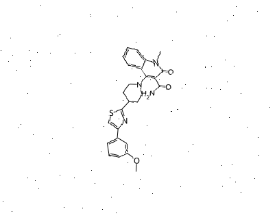 COc1cccc(-c2csc(C3CCN(c4c(C(N)=O)c(=O)n(C)c5ccccc45)CC3)n2)c1